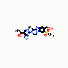 CCCC(O)c1cnc(N2CCn3c(nc4cc(CO)c(S(C)(=O)=O)cc43)C2C(C)C)nc1C(F)(F)F